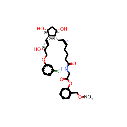 O=C(CCC/C=C\C[C@@H]1[C@@H](/C=C/[C@@H](O)COc2cccc(Cl)c2)[C@H](O)C[C@@H]1O)NCC(=O)Oc1ccccc1CO[N+](=O)[O-]